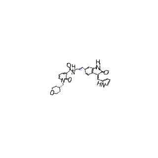 O=C1Nc2cc(/C=C/CNC(=O)c3cccn(CC4CCOCC4)c3=O)ccc2C1=Cc1ccc[nH]1